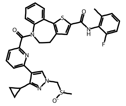 Cc1cccc(F)c1NC(=O)c1cc2c(s1)-c1ccccc1N(C(=O)c1cccc(-c3cn(C[S+](C)[O-])nc3C3CC3)n1)CC2